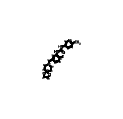 Cc1ccc(NC(=O)Nc2cc(CN3CCC4(CC3)OCCO4)ccc2F)cn1